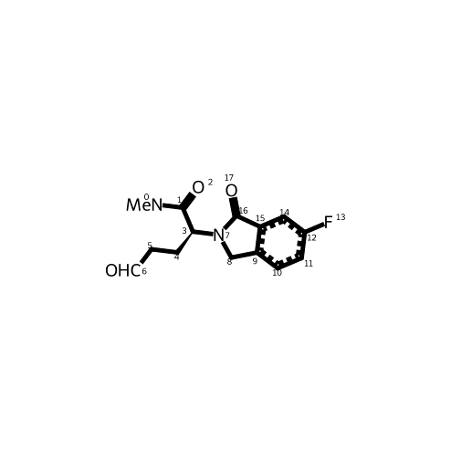 CNC(=O)[C@H](CCC=O)N1Cc2ccc(F)cc2C1=O